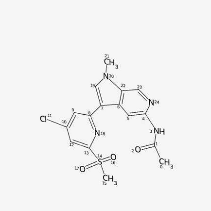 CC(=O)Nc1cc2c(-c3cc(Cl)cc(S(C)(=O)=O)n3)cn(C)c2cn1